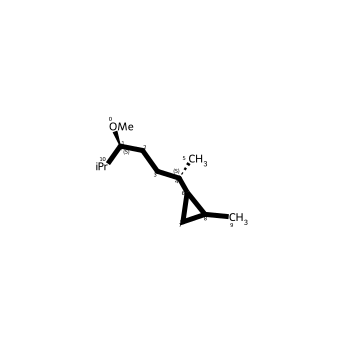 CO[C@@H](CC[C@H](C)C1CC1C)C(C)C